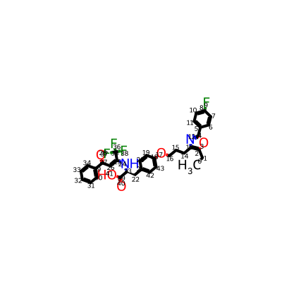 CCc1oc(-c2ccc(F)cc2)nc1CCCOc1ccc(C[C@H](N/C(=C/C(=O)c2ccccc2)C(F)(F)F)C(=O)O)cc1